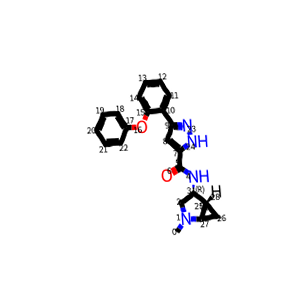 CN1C[C@H](NC(=O)c2cc(-c3ccccc3Oc3ccccc3)n[nH]2)[C@@H]2CC21